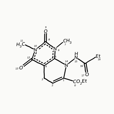 CCOC(=O)C1=CCc2c(n(C)c(=O)n(C)c2=O)N1NC(=O)CC